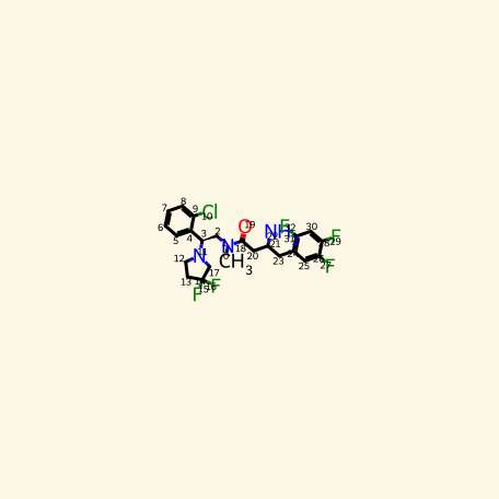 CN(C[C@H](c1ccccc1Cl)N1CCC(F)(F)C1)C(=O)CC(N)Cc1cc(F)c(F)cc1F